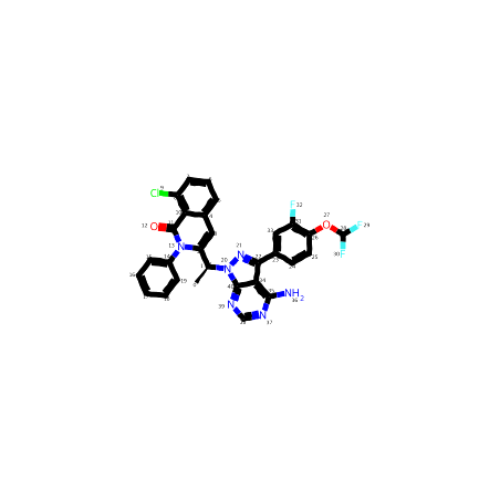 C[C@@H](c1cc2cccc(Cl)c2c(=O)n1-c1ccccc1)n1nc(-c2ccc(OC(F)F)c(F)c2)c2c(N)ncnc21